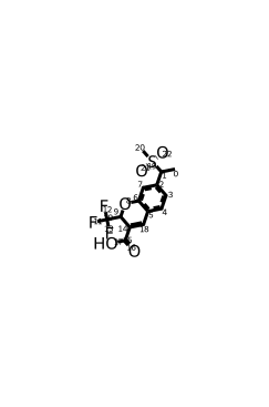 CC(c1ccc2c(c1)OC(C(F)(F)F)C(C(=O)O)=C2)S(C)(=O)=O